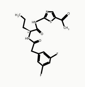 CCC[C@H](NC(=O)Cc1cc(F)cc(F)c1)C(=O)Nc1ncc(C(C)=O)s1